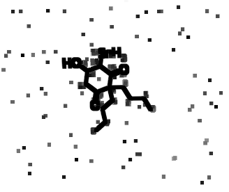 CCCCC1(CCCC)C(=O)CC(O)[CH]([SnH3])C1=O